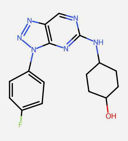 OC1CCC(Nc2ncc3nnn(-c4ccc(F)cc4)c3n2)CC1